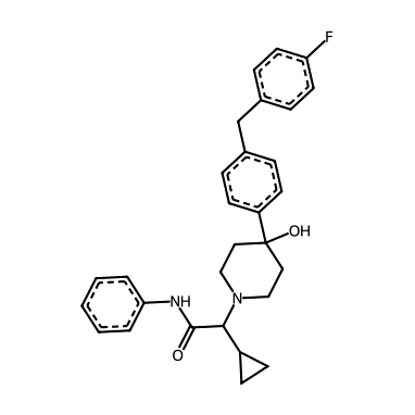 O=C(Nc1ccccc1)C(C1CC1)N1CCC(O)(c2ccc(Cc3ccc(F)cc3)cc2)CC1